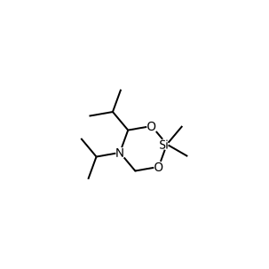 CC(C)C1O[Si](C)(C)OCN1C(C)C